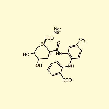 O=C([O-])c1ccccc1Nc1ccc(C(F)(F)F)cc1NC(=O)[C@H]1CC(O)C(O)C[C@H]1C(=O)[O-].[Na+].[Na+]